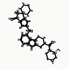 C[C@@H]1COCCN1C(=O)C1CCc2c(sc3ncnc(Nc4cc5c(s4)C(=O)NC54CCCCC4)c23)C1